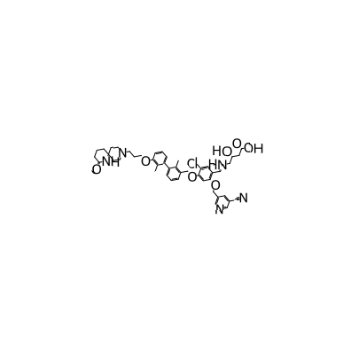 Cc1c(COc2cc(OCc3cncc(C#N)c3)c(CNC[C@@H](O)CC(=O)O)cc2Cl)cccc1-c1cccc(OCCCN2CCC3(CCCC(=O)N3)CC2)c1C